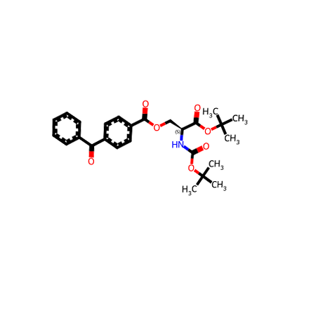 CC(C)(C)OC(=O)N[C@@H](COC(=O)c1ccc(C(=O)c2ccccc2)cc1)C(=O)OC(C)(C)C